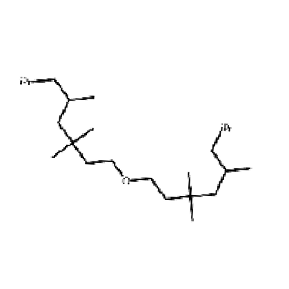 CC(C)CC(C)CC(C)(C)CCOCCC(C)(C)CC(C)CC(C)C